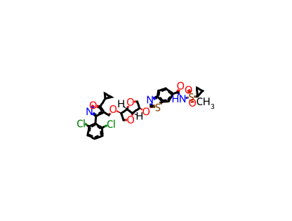 CC1(S(=O)(=O)NC(=O)c2ccc3nc(O[C@@H]4CO[C@H]5[C@@H]4OC[C@H]5OCc4c(-c5c(Cl)cccc5Cl)noc4C4CC4)sc3c2)CC1